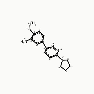 COc1ccc(-c2ccc(N3CCCC3)nn2)cc1N